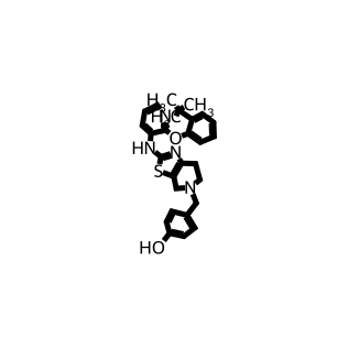 CC(C)(C)c1ccccc1Oc1ncccc1Nc1nc2c(s1)CN(Cc1ccc(O)cc1)CC2